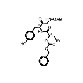 CONCC(=O)[C@H](Cc1ccc(O)cc1)NC(=O)[C@H](CC(C)C)NC(=O)OCc1ccccc1